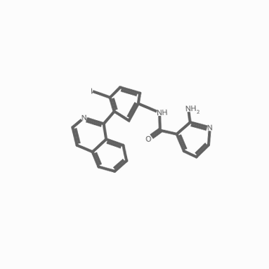 Nc1ncccc1C(=O)Nc1ccc(I)c(-c2nccc3ccccc23)c1